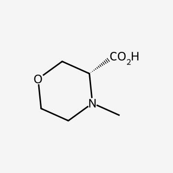 CN1CCOC[C@@H]1C(=O)O